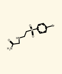 NC(=O)CNCCS(=O)(=O)c1ccc(Br)cc1